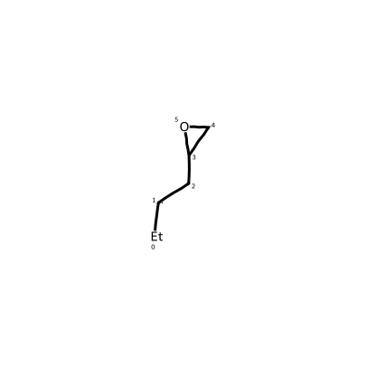 CC[CH]CC1CO1